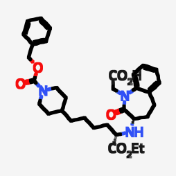 CCOC(=O)[C@H](CCCCC1CCN(C(=O)OCc2ccccc2)CC1)N[C@H]1CCc2ccccc2N(CC(=O)O)C1=O